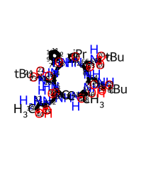 CC(C)C[C@@H]1NC(=O)[C@@H](Cc2ccccc2)NC(=O)[C@H](CCNC(=O)OC(C)(C)C)NC(=O)[C@@H](NC(=O)CNC(=O)[C@@H](N)[C@@H](C)O)CCNC(=O)[C@H]([C@@H](C)O)NC(=O)[C@H](CCNC(=O)OC(C)(C)C)NC(=O)[C@H](CCNC(=O)OC(C)(C)C)NC1=O